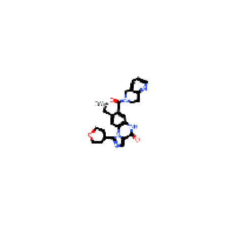 COCc1cc2c(cc1C(=O)N1CCc3ncccc3C1)[nH]c(=O)c1cnc(C3CCOCC3)n12